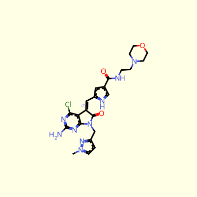 Cn1ccc(CN2C(=O)/C(=C\c3cc(C(=O)NCCN4CCOCC4)c[nH]3)c3c(Cl)nc(N)nc32)n1